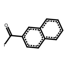 O=C(I)c1ccc2ccccc2c1